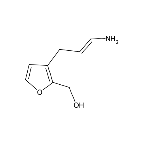 NC=CCc1ccoc1CO